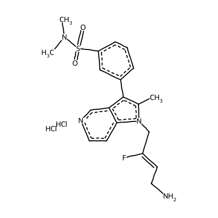 Cc1c(-c2cccc(S(=O)(=O)N(C)C)c2)c2cnccc2n1CC(F)=CCN.Cl.Cl